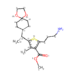 COC(=O)c1c(CCCN)sc([C@H](C)C2CCC3(CC2)OCCO3)c1C